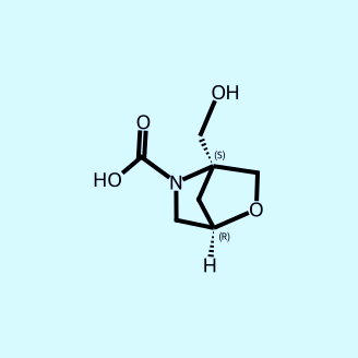 O=C(O)N1C[C@H]2C[C@]1(CO)CO2